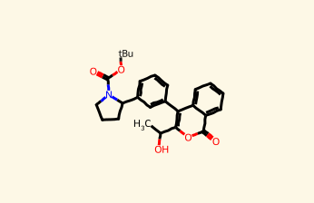 CC(O)c1oc(=O)c2ccccc2c1-c1cccc(C2CCCN2C(=O)OC(C)(C)C)c1